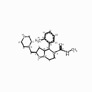 CNC(=O)N1CCN2OC(CN3CCOCC3)CC2C1c1ccccc1C